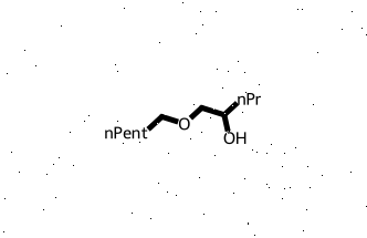 CCCCCCOCC(O)CCC